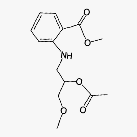 COCC(CNc1ccccc1C(=O)OC)OC(C)=O